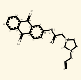 C=CCN1CCN(CC(=O)Nc2ccc3c(c2)C(=O)c2ccccc2C3=O)C1